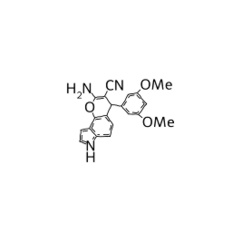 COc1cc(OC)cc(C2C(C#N)=C(N)Oc3c2ccc2[nH]ccc32)c1